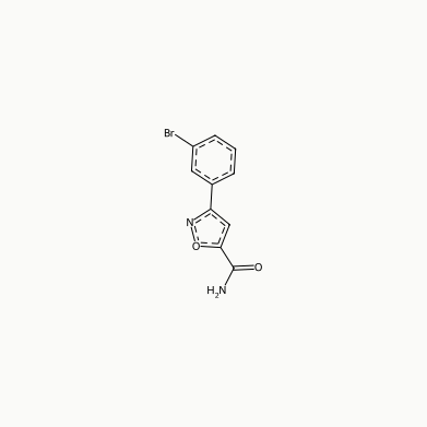 NC(=O)c1cc(-c2cccc(Br)c2)no1